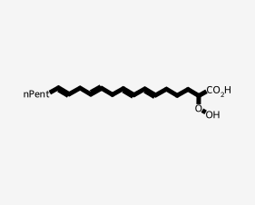 CCCCCC=CCC=CCC=CC=CCCCC(OO)C(=O)O